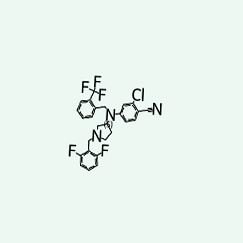 N#Cc1ccc(N(Cc2ccccc2C(F)(F)F)[C@H]2CCN(Cc3c(F)cccc3F)C2)cc1Cl